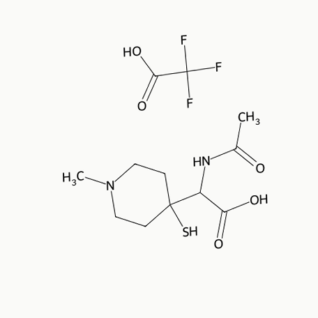 CC(=O)NC(C(=O)O)C1(S)CCN(C)CC1.O=C(O)C(F)(F)F